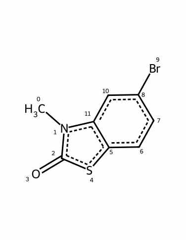 Cn1c(=O)sc2ccc(Br)cc21